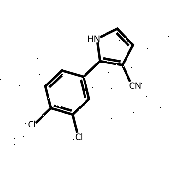 N#Cc1cc[nH]c1-c1ccc(Cl)c(Cl)c1